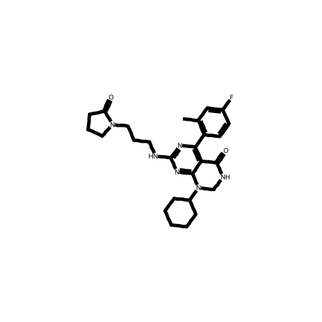 Cc1cc(F)ccc1-c1nc(NCCCN2CCCC2=O)nc2c1C(=O)NCN2C1CCCCC1